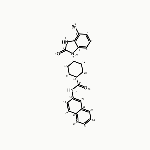 O=c1[nH]c2c(Br)cccc2n1[C@H]1CC[C@@H](C(=O)Nc2ccc3ncccc3c2)CC1